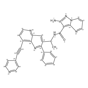 CC(NC(=O)c1c(N)nn2cccnc12)c1cc2nccc(C#Cc3ccncc3)c2nc1-c1ccccc1